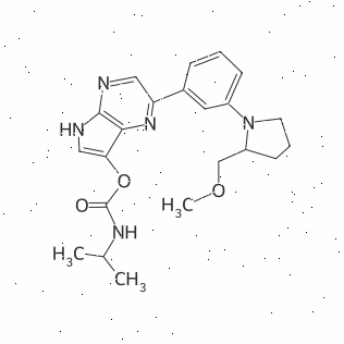 COCC1CCCN1c1cccc(-c2cnc3[nH]cc(OC(=O)NC(C)C)c3n2)c1